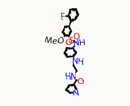 COc1ccc(-c2ccccc2F)cc1S(=O)(=O)Nc1cccc(NCCNC(=O)c2cccnc2)c1